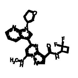 CNc1cc(-c2cn([C@H]3CCOC3)c3ncccc23)nc2c(C(=O)NC3CCC3(F)F)cnn12